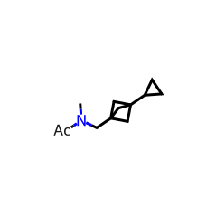 CC(=O)N(C)CC12CC(C3CC3)(C1)C2